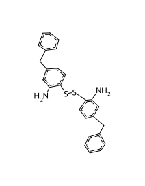 Nc1cc(Cc2ccccc2)ccc1SSc1ccc(Cc2ccccc2)cc1N